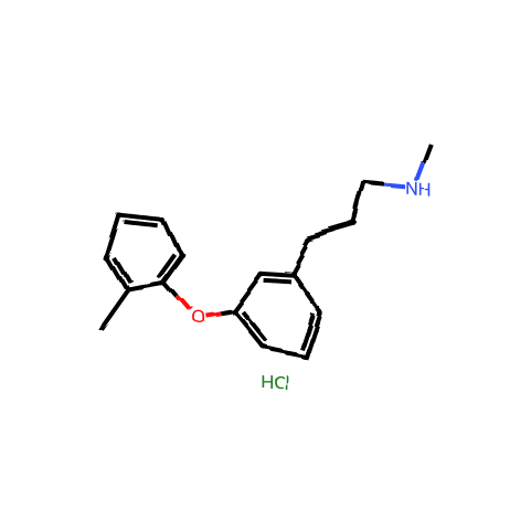 CNCCCc1cccc(Oc2ccccc2C)c1.Cl